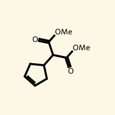 COC(=O)C(C(=O)OC)C1CC=CC1